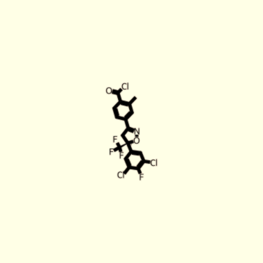 Cc1cc(C2=NO[C@@](c3cc(Cl)c(F)c(Cl)c3)(C(F)(F)F)C2)ccc1C(=O)Cl